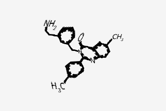 Cc1ccc(-c2nc3ccc(C)cc3c(=O)n2Cc2cccc(CN)c2)cc1